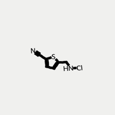 N#Cc1ccc(CNCl)s1